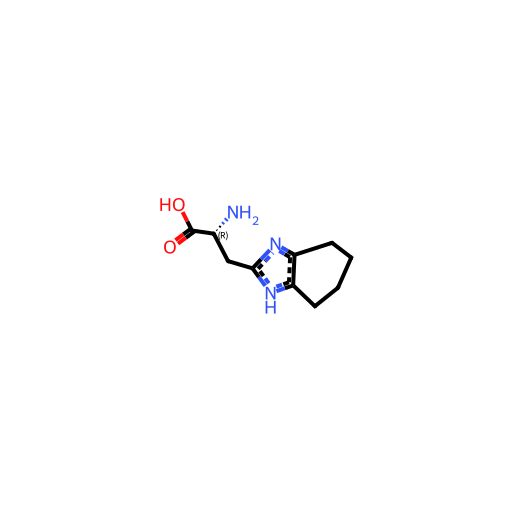 N[C@H](Cc1nc2c([nH]1)CCCC2)C(=O)O